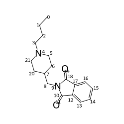 CCCCN1CCC(CN2C(=O)c3ccccc3C2=O)CC1